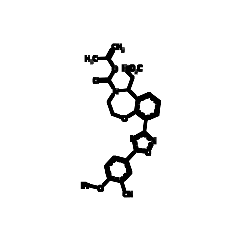 C=C(C)OC(=O)N1CCOc2c(-c3noc(-c4ccc(OC(C)C)c(C#N)c4)n3)cccc2C1CC(=O)OCC